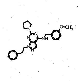 COc1cccc(CNc2nc(N3CCCC3)nc3c2cnn3CCc2ccccc2)c1